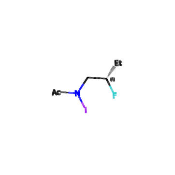 CC[C@H](F)CN(I)C(C)=O